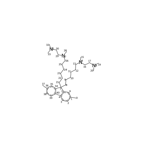 Cc1ccc2c(c1)C(CCCCCCN(C)CCN(C)C)(CCCCCCN(C)CCN(C)C)c1cc(C)ccc1-2